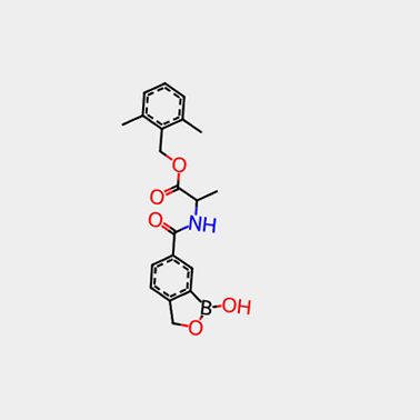 Cc1cccc(C)c1COC(=O)C(C)NC(=O)c1ccc2c(c1)B(O)OC2